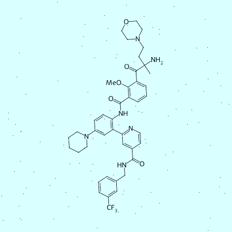 COc1c(C(=O)Nc2ccc(N3CCCCC3)cc2-c2cc(C(=O)NCc3cccc(C(F)(F)F)c3)ccn2)cccc1C(=O)C(C)(N)CCN1CCOCC1